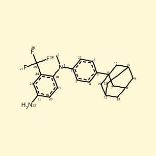 CN(c1ccc(C23CC4CC(CC(C4)C2)C3)cc1)c1ccc(N)cc1C(F)(F)F